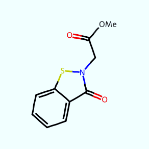 COC(=O)Cn1sc2ccccc2c1=O